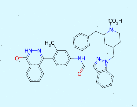 Cc1cc(NC(=O)c2nn(CC3CCN(C(=O)O)C(Cc4ccccc4)C3)c3ccccc23)ccc1-c1n[nH]c(=O)c2ccccc12